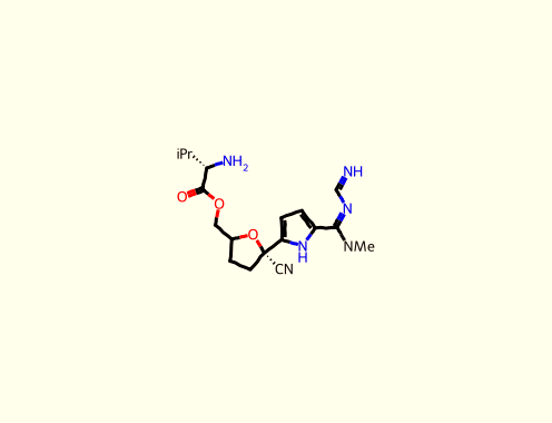 CN/C(=N/C=N)c1ccc([C@@]2(C#N)CCC(COC(=O)[C@@H](N)C(C)C)O2)[nH]1